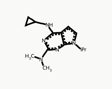 CC(C)n1ccc2c(NC3CC3)nc(N(C)C)nc21